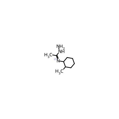 C/C(=N/C1CCCCC1C)NN